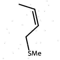 C/C=C\CSC